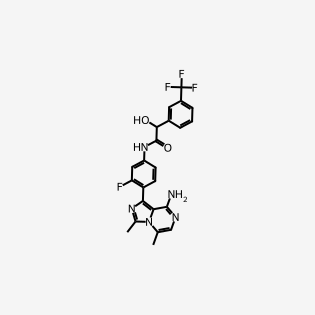 Cc1cnc(N)c2c(-c3ccc(NC(=O)C(O)c4cccc(C(F)(F)F)c4)cc3F)nc(C)n12